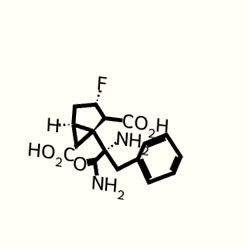 NC(=O)[C@](N)(Cc1ccccc1)[C@@]12C(C(=O)O)[C@@H](F)C[C@@H]1[C@@H]2C(=O)O